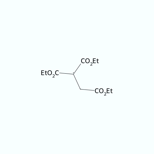 CCOC(=O)C[C](C(=O)OCC)C(=O)OCC